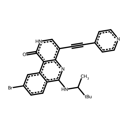 CC(Nc1nc2c(C#Cc3ccncc3)c[nH]c(=O)c2c2cc(Br)ccc12)C(C)(C)C